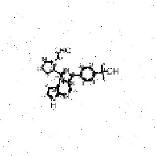 CC(C)(O)c1ccc(-c2nc(C3CCCN3CC=O)n3c2cnc2[nH]ccc23)cc1